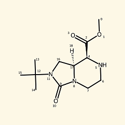 COC(=O)[C@H]1NCCN2C(=O)N(C(C)(C)C)C[C@@H]12